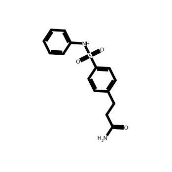 NC(=O)CCc1ccc(S(=O)(=O)Nc2ccccc2)cc1